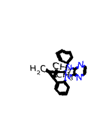 C=C1C2(C)C3=CC=CCC3N3c4nccnc4N(c4ccccc4)C3C12C